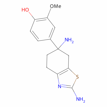 COc1cc(C2(N)CCc3nc(N)sc3C2)ccc1O